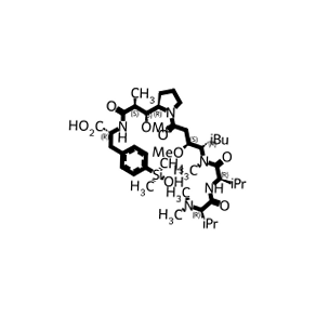 CC[C@@H](C)C([C@H](CC(=O)N1CCC[C@@H]1[C@@H](OC)[C@H](C)C(=O)N[C@H](Cc1ccc([Si](C)(C)O)cc1)C(=O)O)OC)N(C)C(=O)[C@H](NC(=O)[C@@H](C(C)C)N(C)C)C(C)C